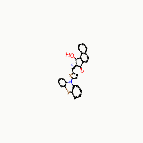 O=C1/C(=C\c2ccc(N3c4ccccc4Sc4ccccc43)s2)C(O)c2c1ccc1ccccc21